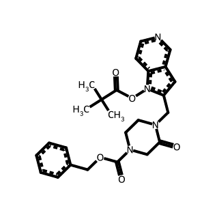 CC(C)(C)C(=O)On1c(CN2CCN(C(=O)OCc3ccccc3)CC2=O)cc2cnccc21